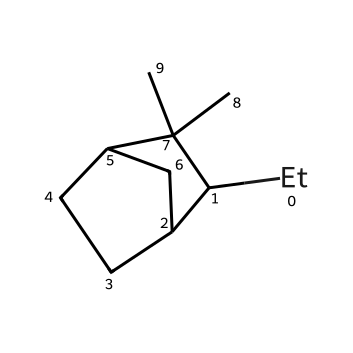 CCC1C2CCC(C2)C1(C)C